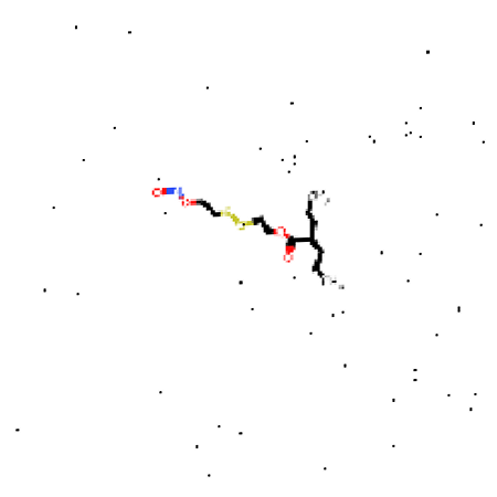 CCCC(CCC)C(=O)OCCSSCCON=O